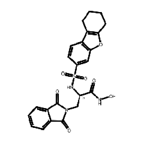 O=C(NO)[C@@H](CN1C(=O)c2ccccc2C1=O)NS(=O)(=O)c1ccc2c3c(oc2c1)CCCC3